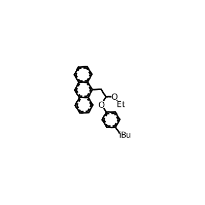 CCOC(Cc1c2ccccc2cc2ccccc12)Oc1ccc(C(C)CC)cc1